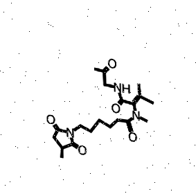 CC(=O)CNC(=O)C(=C(C)C)N(C)C(=O)CCCCCN1C(=O)CC(C)C1=O